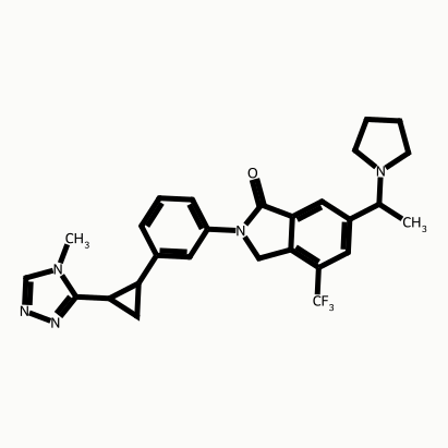 CC(c1cc2c(c(C(F)(F)F)c1)CN(c1cccc(C3CC3c3nncn3C)c1)C2=O)N1CCCC1